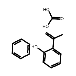 C=C(C)c1ccccc1O.O=C(O)O.c1ccccc1